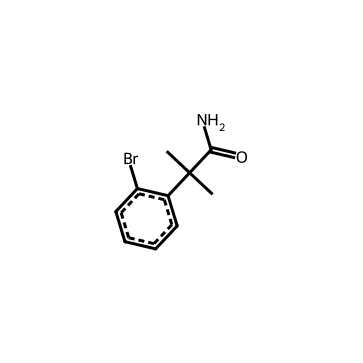 CC(C)(C(N)=O)c1ccccc1Br